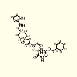 O=CN(C[C@H](NC(=O)OCc1ccccc1)C(=O)O)C1=NOC2(CCC(CNc3ncc[nH]3)CC2)C1